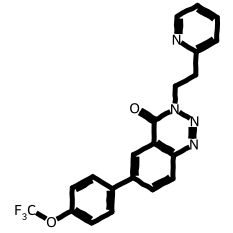 O=c1c2cc(-c3ccc(OC(F)(F)F)cc3)ccc2nnn1CCc1ccccn1